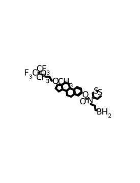 BCCCN(C(=O)Oc1ccc2c(c1)CCC1C2CCC2(C)C(OCCCOC(C(F)(F)F)(C(F)(F)F)C(F)(F)F)CCC12)C1CCSSC1